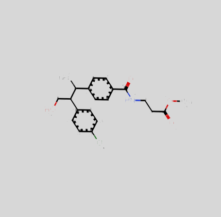 CCCC(c1ccc(C(=O)NCCC(=O)OC(C)(C)C)cc1)C(CO)c1ccc(Cl)cc1